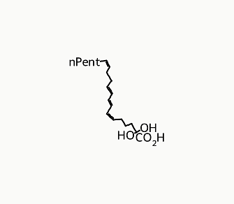 CCCCC/C=C\CC/C=C/C=C/C=C\CCCC(O)(O)C(=O)O